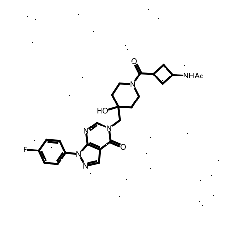 CC(=O)NC1CC(C(=O)N2CCC(O)(Cn3cnc4c(cnn4-c4ccc(F)cc4)c3=O)CC2)C1